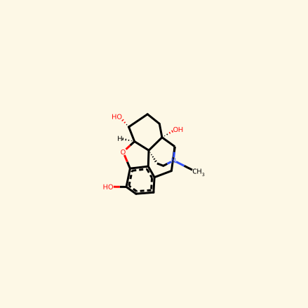 CN1CC[C@]23c4c5ccc(O)c4O[C@H]2[C@H](O)CC[C@@]3(O)C1C5